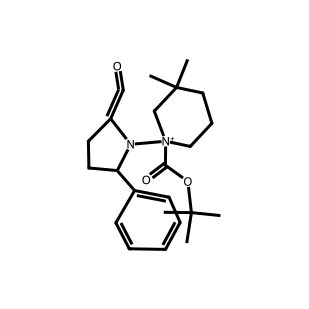 CC1(C)CCC[N+](C(=O)OC(C)(C)C)(N2C(=C=O)CCC2c2ccccc2)C1